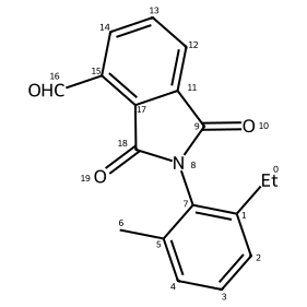 CCc1cccc(C)c1N1C(=O)c2cccc(C=O)c2C1=O